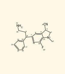 CN1CC(C#N)c2cc(C(CCN)c3ccccc3)cc(F)c21